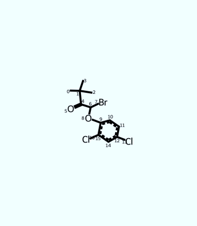 CC(C)(C)C(=O)C(Br)Oc1ccc(Cl)cc1Cl